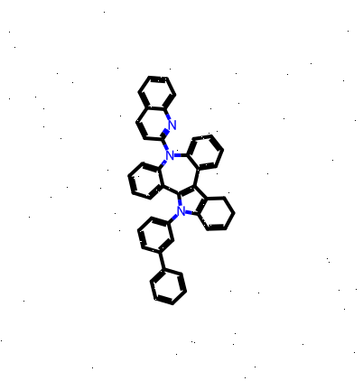 C1=Cc2c(c3c(n2-c2cccc(-c4ccccc4)c2)-c2ccccc2N(c2ccc4ccccc4n2)c2ccccc2-3)CC1